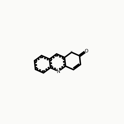 O=C1[C]c2cc3ccccc3nc2C=C1